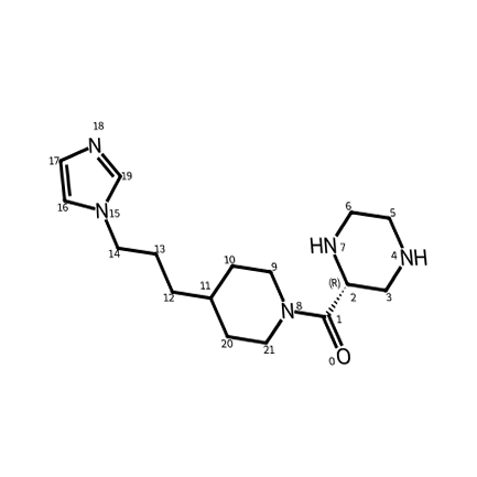 O=C([C@H]1CNCCN1)N1CCC(CCCn2ccnc2)CC1